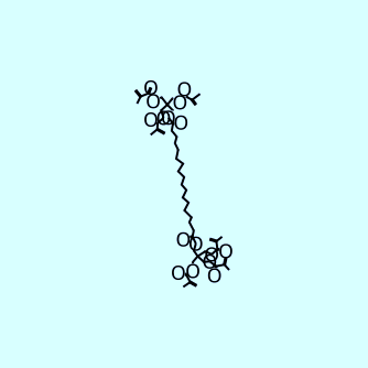 C=C(C)C(=O)OCC(COC(=O)CCCCCCCCCCCCCCCCC(=O)OCC(COC(=O)C(=C)C)(COC(=O)C(=C)C)COC(=O)C(=C)C)(COC(=O)C(=C)C)COC(=O)C(=C)C